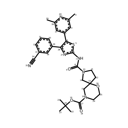 Cc1cc(-c2sc(NC(=O)N3CCC4(C3)CN(C(=O)OC(C)(C)C)CCO4)nc2-c2cccc(C#N)c2)cc(C)n1